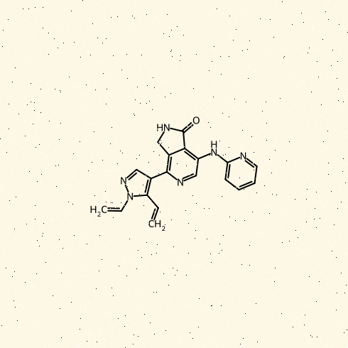 C=Cc1c(-c2ncc(Nc3ccccn3)c3c2CNC3=O)cnn1C=C